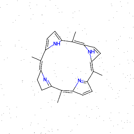 Cc1c2nc(c(C)c3ccc([nH]3)c(C)c3ccc([nH]3)c(C)c3nc1CC3)C=C2